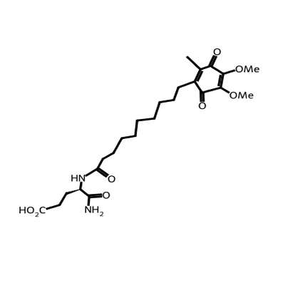 COC1=C(OC)C(=O)C(CCCCCCCCCC(=O)N[C@H](CCC(=O)O)C(N)=O)=C(C)C1=O